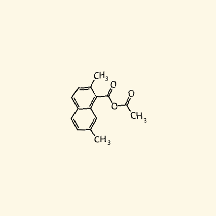 CC(=O)OC(=O)c1c(C)ccc2ccc(C)cc12